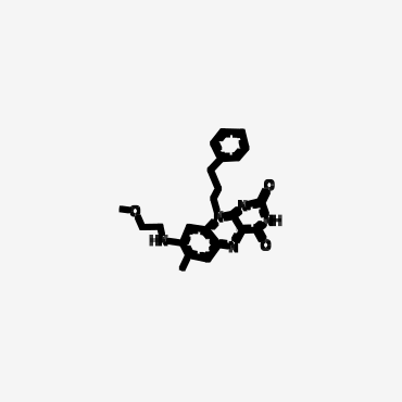 COCCNc1cc2c(cc1C)nc1c(=O)[nH]c(=O)nc-1n2CCCc1ccccc1